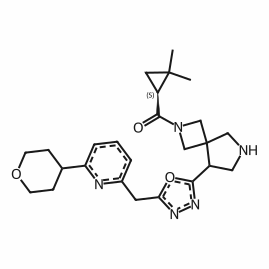 CC1(C)C[C@@H]1C(=O)N1CC2(CNCC2c2nnc(Cc3cccc(C4CCOCC4)n3)o2)C1